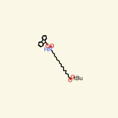 CC(C)(C)OC(=O)CCCCCCCCCCCCCCCCNC(=O)OCC1c2ccccc2-c2ccccc21